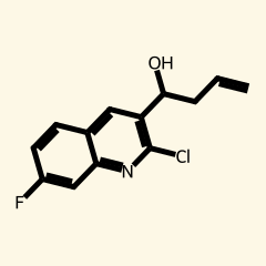 C=CCC(O)c1cc2ccc(F)cc2nc1Cl